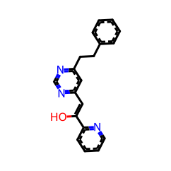 O/C(=C\c1cc(CCc2ccccc2)ncn1)c1ccccn1